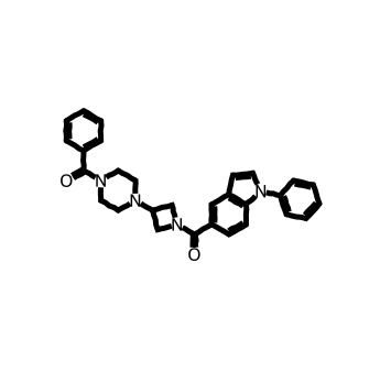 O=C(c1ccccc1)N1CCN(C2CN(C(=O)c3ccc4c(ccn4-c4ccccc4)c3)C2)CC1